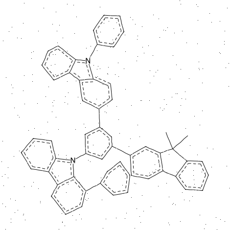 CC1(C)c2ccccc2-c2ccc(-c3cc(-c4ccc5c(c4)c4ccccc4n5-c4ccccc4)cc(-n4c5ccccc5c5cccc(-c6ccccc6)c54)c3)cc21